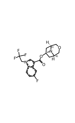 CN1[C@@H]2COC[C@H]1CC(OC(=O)c1cn(CC(F)(F)F)c3ccc(F)cc13)C2